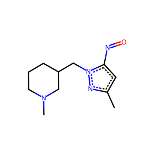 Cc1cc(N=O)n(CC2CCCN(C)C2)n1